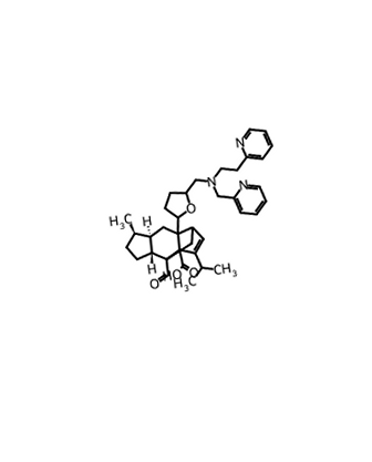 CC(C)C1=CC2CC3(C=O)[C@@H]4CC[C@@H](C)[C@H]4CC2(C2CCC(CN(CCc4ccccn4)Cc4ccccn4)O2)C13C(=O)O